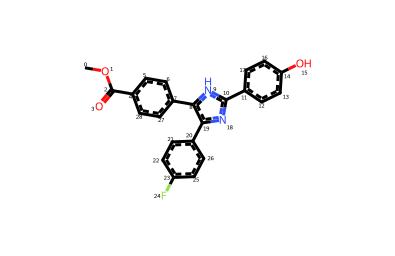 COC(=O)c1ccc(-c2[nH]c(-c3ccc(O)cc3)nc2-c2ccc(F)cc2)cc1